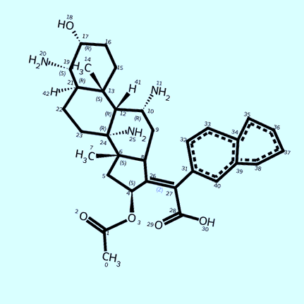 CC(=O)O[C@H]1C[C@@]2(C)C(C[C@@H](N)[C@H]3[C@@]4(C)CC[C@@H](O)[C@@H](N)[C@@H]4CC[C@@]32N)/C1=C(/C(=O)O)c1ccc2ccccc2c1